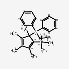 CC1=C(C)C(C)([Si](CC(C)C)(c2ccccc2)c2ccccc2)[C]([Ti]([CH3])([CH3])[CH3])=C1C